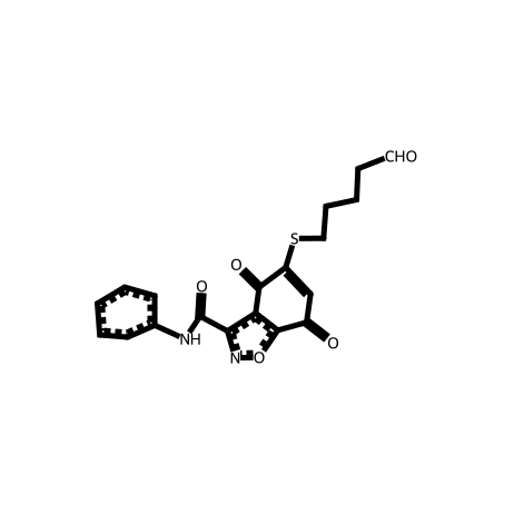 O=CCCCCSC1=CC(=O)c2onc(C(=O)Nc3ccccc3)c2C1=O